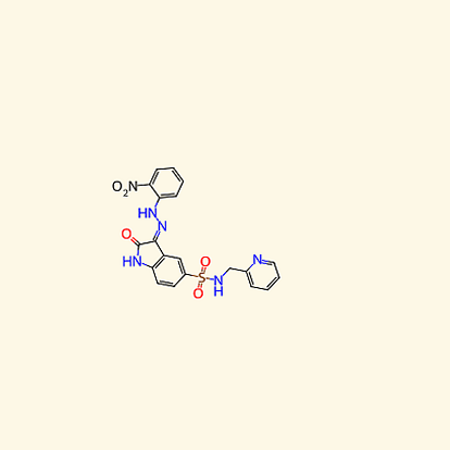 O=C1Nc2ccc(S(=O)(=O)NCc3ccccn3)cc2/C1=N/Nc1ccccc1[N+](=O)[O-]